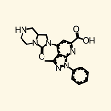 Cc1nn(-c2ccccc2)c2nc(C(=O)O)cc(N3CC4CNCCN4C3=O)c12